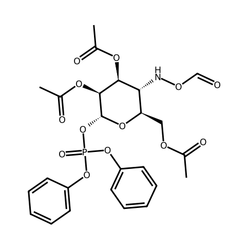 CC(=O)OC[C@H]1O[C@H](OP(=O)(Oc2ccccc2)Oc2ccccc2)[C@@H](OC(C)=O)[C@@H](OC(C)=O)[C@@H]1NOC=O